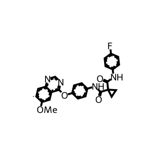 COc1[c]cc2ncnc(Oc3ccc(NC(=O)C4(C(=O)Nc5ccc(F)cc5)CC4)cc3)c2c1